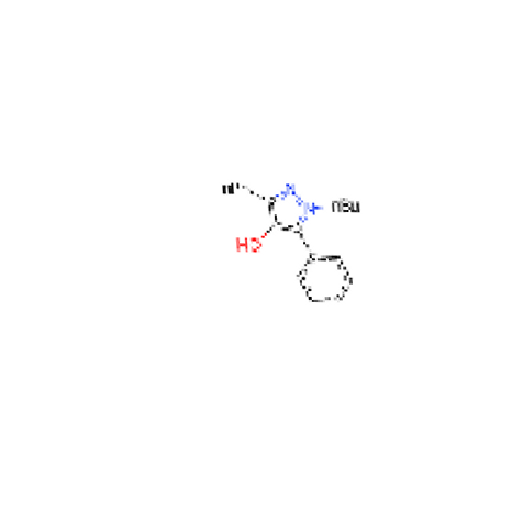 CCCCn1nc(CCC)c(O)c1-c1ccccc1